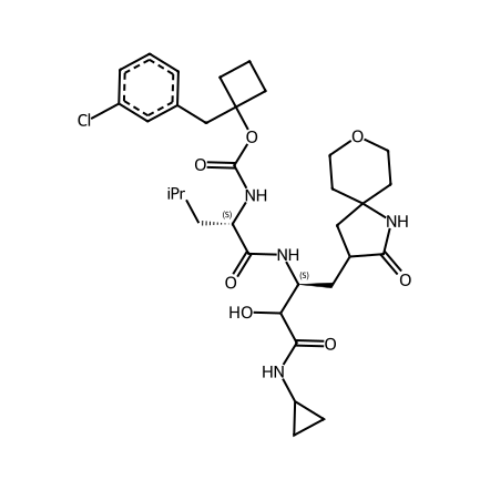 CC(C)C[C@H](NC(=O)OC1(Cc2cccc(Cl)c2)CCC1)C(=O)N[C@@H](CC1CC2(CCOCC2)NC1=O)C(O)C(=O)NC1CC1